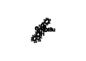 CC(C)(C)OC(=O)N[C@H](COCc1ccccc1)C(=O)N1CCC2(C=Cc3ccccc32)CC1